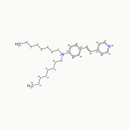 CCCCCCCCN(CCCCCCCC)c1ccc(/C=C/c2ccncc2)cc1